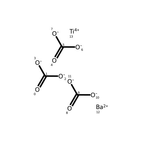 O=C([O-])[O-].O=C([O-])[O-].O=C([O-])[O-].[Ba+2].[Ti+4]